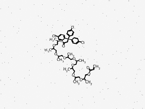 C=CC(=O)OCC(C)OCC(C)OCC(C)OCC(C)OCC(C)OCC(C)OCC(C)OCC(C)OC(=O)CC(c1ccc(Cl)cc1)(c1ccc(Cl)cc1)c1ccc(Cl)cc1